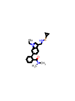 CN(C)C(=O)c1ccccc1-c1ccc2c(CNSC3CC3)cn(CC(C)(C)C)c2c1